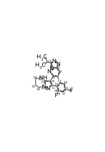 CC(C)c1nnc2ccc(-c3c(-c4ccc(F)cc4F)nn4c3NCCC4)nn12